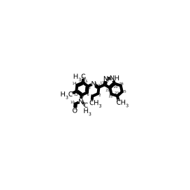 CCC/C(=N\c1cc(N(C)C=O)c(C)cc1C)c1n[nH]c2c1CC(C)CC2